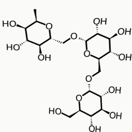 C[C@H]1O[C@H](CO[C@H]2O[C@H](CO[C@H]3O[C@H](CO)[C@@H](O)[C@H](O)[C@H]3O)[C@@H](O)[C@H](O)[C@H]2O)[C@@H](O)[C@H](O)[C@H]1O